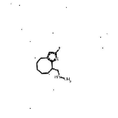 CNCC1CCCCCc2cc(F)sc21